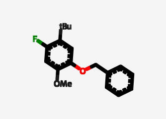 COc1cc(F)c(C(C)(C)C)cc1OCc1ccccc1